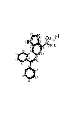 CCN(C(=O)O)c1nc(N=C(c2ccccc2)c2ccccc2)cc2[nH]cnc12